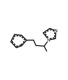 CC(CCc1ccccc1)n1ccnc1